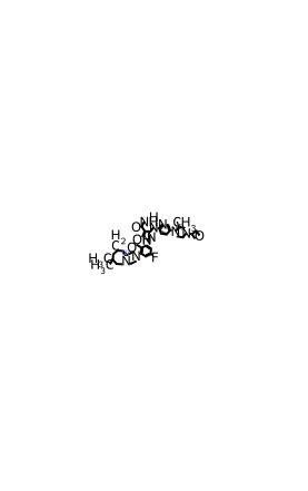 C=C1/C=C2/C(=O)N(c3cc(F)cc(-n4cc(C(N)=O)c(Nc5ccc(N6CCN(C7COC7)C[C@@H]6C)cn5)n4)c3CO)CCN2CCC(C)(C)C1